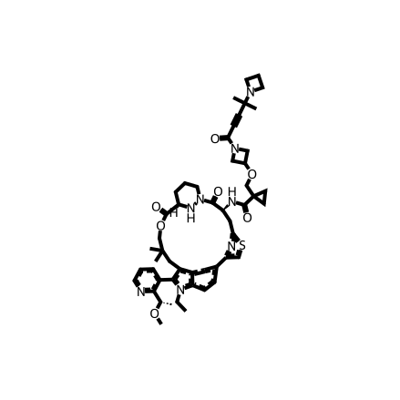 CCn1c(-c2cccnc2[C@H](C)OC)c2c3cc(ccc31)-c1csc(n1)C[C@H](NC(=O)C1(COC3CN(C(=O)C#CC(C)(C)N4CCC4)C3)CC1)C(=O)N1CCC[C@H](N1)C(=O)OCC(C)(C)C2